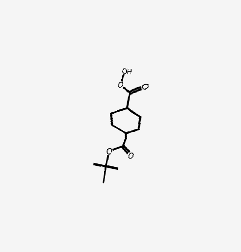 CC(C)(C)OC(=O)C1CCC(C(=O)OO)CC1